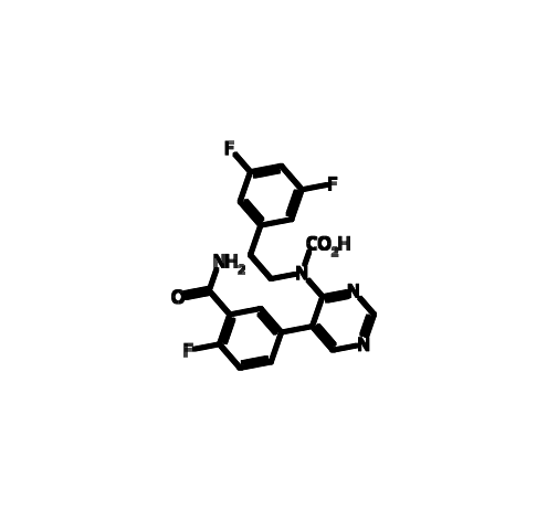 NC(=O)c1cc(-c2cncnc2N(CCc2cc(F)cc(F)c2)C(=O)O)ccc1F